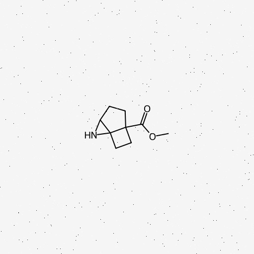 COC(=O)C12CCC3NC31CC2